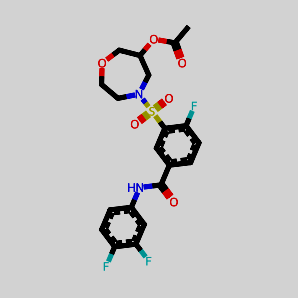 CC(=O)OC1COCCN(S(=O)(=O)c2cc(C(=O)Nc3ccc(F)c(F)c3)ccc2F)C1